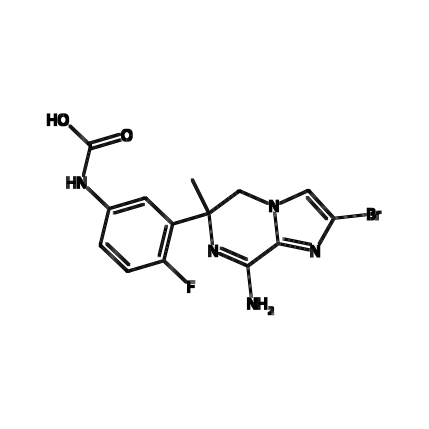 CC1(c2cc(NC(=O)O)ccc2F)Cn2cc(Br)nc2C(N)=N1